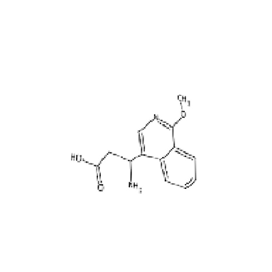 COc1ncc(C(N)CC(=O)O)c2ccccc12